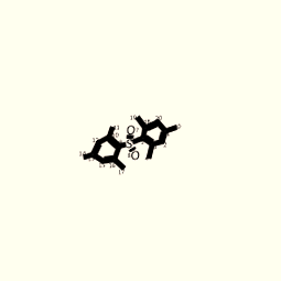 Cc1cc(C)c(S(=O)(=O)c2c(C)cc(C)cc2C)c(C)c1